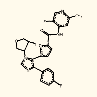 Cc1cc(NC(=O)c2ccc(-c3c(-c4ccc(F)cc4)ncn3C3COCC3F)o2)c(F)cn1